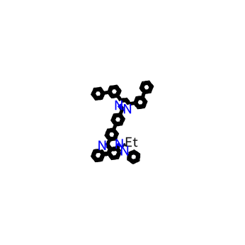 CCc1nc2c3c(-c4ccc(-c5ccc(-c6nc(-c7cccc(-c8ccccc8)c7)cc(-c7cccc(-c8ccccc8)c7)n6)cc5)cc4)nc4ccccc4c3ccc2n1-c1ccccc1